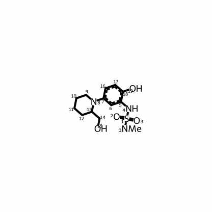 CNS(=O)(=O)Nc1cc(N2CCCCC2CO)ccc1O